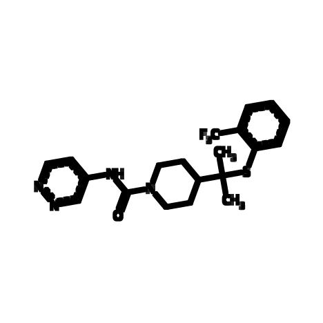 CC(C)(Sc1ccccc1C(F)(F)F)C1CCN(C(=O)Nc2ccnnc2)CC1